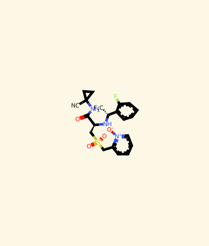 N#CC1(NC(=O)[C@H](CS(=O)(=O)Cc2cccc[n+]2[O-])N[C@@H](c2ccccc2F)C(F)(F)F)CC1